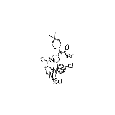 CC(C)C(=O)N(C1CCC(C)(C)CC1)[C@H]1C[C@@H](C(=S)N(C)C)N(C(=O)[C@H]2CCN(C(C)(C)C)C2c2ccc(Cl)cc2)C1